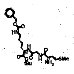 CSCC[C@H](N)C(=O)NCC(=O)N[C@@H](CCCCNC(=O)OCc1ccccc1)C(=O)OC(C)(C)C